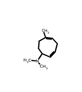 C/C1=C/CC=CC(N(C)C)CC1